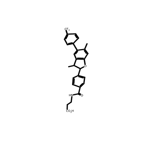 Cc1cc2c(cc1-c1ccc(C(F)(F)F)cc1)C(C)C(c1ccc(C(=O)NCCC(=O)O)cc1)O2